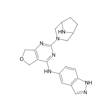 c1cc2[nH]ncc2cc1Nc1nc(N2CC3CCC(C2)N3)nc2c1COC2